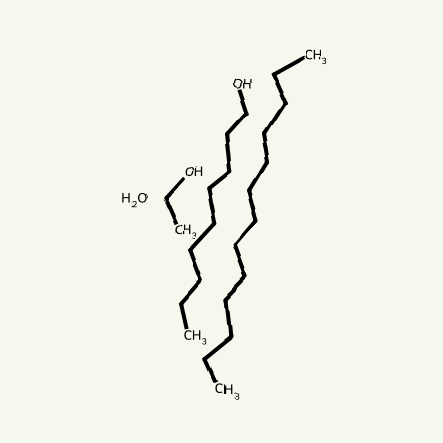 CCCCCCCCCCCCC.CCCCCCCCCO.CCO.O